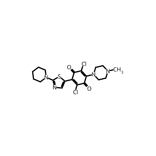 CN1CCN(C2=C(Cl)C(=O)C(c3cnc(N4CCCCC4)s3)=C(Cl)C2=O)CC1